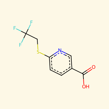 O=C(O)c1ccc(SCC(F)(F)F)nc1